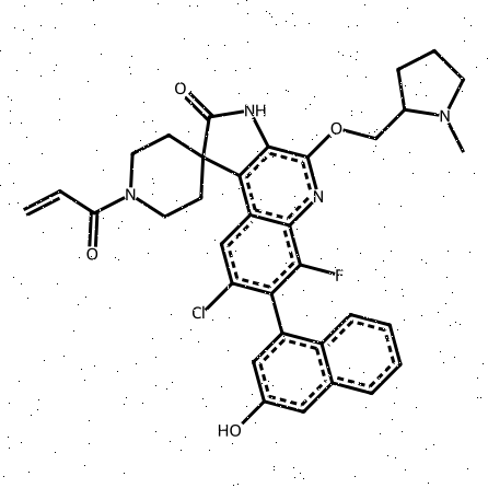 C=CC(=O)N1CCC2(CC1)C(=O)Nc1c(OCC3CCCN3C)nc3c(F)c(-c4cc(O)cc5ccccc45)c(Cl)cc3c12